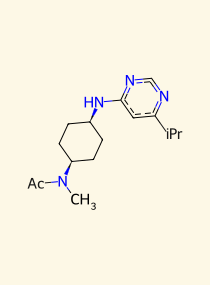 CC(=O)N(C)[C@H]1CC[C@@H](Nc2cc(C(C)C)ncn2)CC1